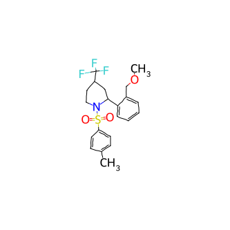 COCc1ccccc1C1CC(C(F)(F)F)CCN1S(=O)(=O)c1ccc(C)cc1